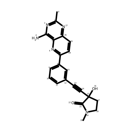 Cc1nc(N)c2nc(-c3cccc(C#CC4(O)CCN(C)C4=O)c3)ccc2n1